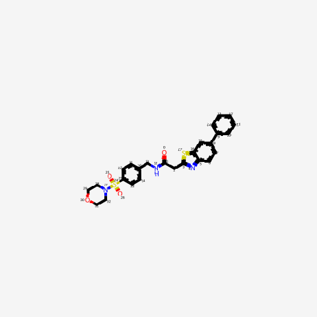 O=C(Cc1nc2ccc(-c3ccccc3)cc2s1)NCc1ccc(S(=O)(=O)N2CCOCC2)cc1